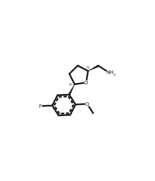 COc1ccc(F)cc1[C@H]1CC[C@@H](CN)O1